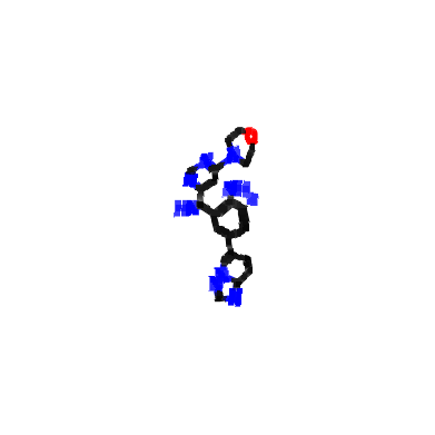 N=C(c1cc(N2CCOCC2)ncn1)c1cc(-c2ccc3ncnn3c2)ccc1N